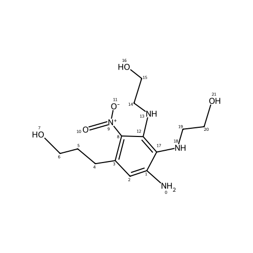 Nc1cc(CCCO)c([N+](=O)[O-])c(NCCO)c1NCCO